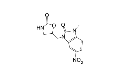 Cn1c(=O)n(CC2CNC(=O)O2)c2cc([N+](=O)[O-])ccc21